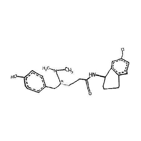 CN(C)[C@H](CCC(=O)NC1CCc2ccc(Cl)cc21)Cc1ccc(O)cc1